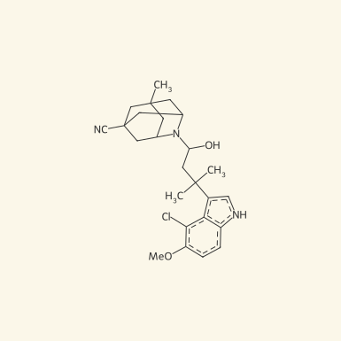 COc1ccc2[nH]cc(C(C)(C)CC(O)N3C4CC5(C)CC3CC(C#N)(C4)C5)c2c1Cl